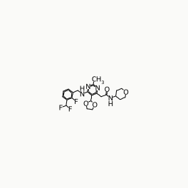 Cc1nc(CC(=O)NC2CCOCC2)c(C2OCCO2)c(NCc2cccc(C(F)F)c2F)n1